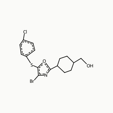 OCC1CCC(c2nc(Br)c(Sc3ccc(Cl)cc3)o2)CC1